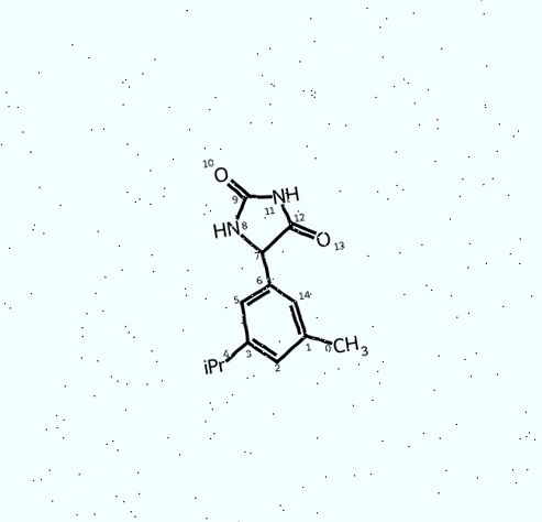 Cc1cc(C(C)C)cc(C2NC(=O)NC2=O)c1